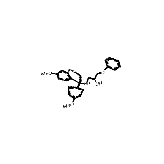 COc1ccc(C(CC(C)C)(NC[C@H](O)COc2ccccc2)c2ccc(OC)cc2)cc1